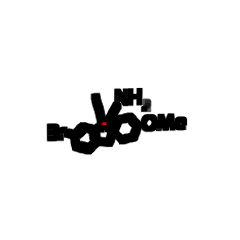 CO[C@H]1CC[C@@]2(CC1)Cc1ccc(Br)cc1C21N=C(C)C(N)=N1